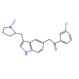 CN1CCCC1Cc1c[nH]c2ccc(CC(=O)c3cccc(Cl)c3)cc12